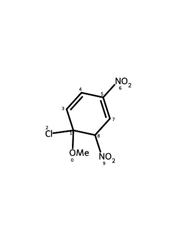 COC1(Cl)C=CC([N+](=O)[O-])=CC1[N+](=O)[O-]